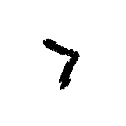 O=[N+]([O-])[O-].O=[N+]([O-])[O-].O=[N+]([O-])[O-].[Al+3].[Al+3].[Al+3].[Al+3].[Al+3].[Al+3].[Al+3].[Al+3].[Al+3].[Al+3].[OH-].[OH-].[OH-].[OH-].[OH-].[OH-].[OH-].[OH-].[OH-].[OH-].[OH-].[OH-].[OH-].[OH-].[OH-].[OH-].[OH-].[OH-].[OH-].[OH-].[OH-].[OH-].[OH-].[OH-].[OH-].[OH-].[OH-]